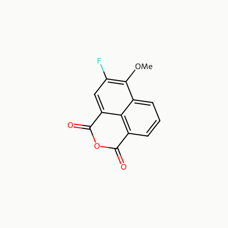 COc1c(F)cc2c3c(cccc13)C(=O)OC2=O